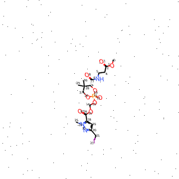 COC(=O)CCNC(=O)[C@@H]1O[P@@](=O)(OCOC(=O)c2cc(CI)nn2C)OCC1(C)C